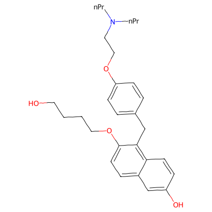 CCCN(CCC)CCOc1ccc(Cc2c(OCCCCO)ccc3cc(O)ccc23)cc1